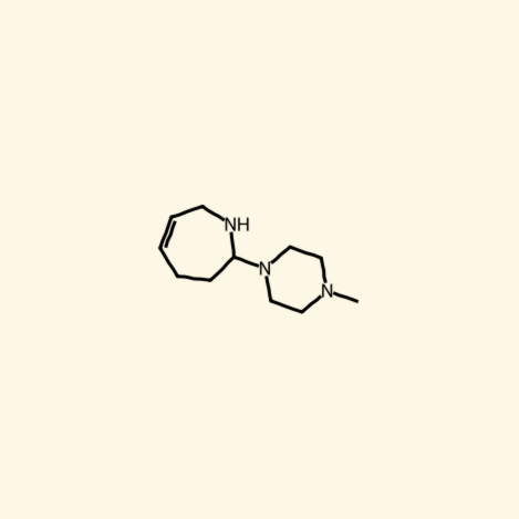 CN1CCN(C2CCC=CCN2)CC1